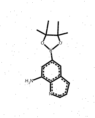 CC1(C)OB(c2cc(N)c3ncccc3c2)OC1(C)C